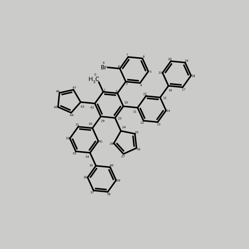 Cc1c(-c2ccccc2Br)c(-c2cccc(-c3ccccc3)c2)c(C2C=CC=C2)c(-c2cccc(-c3ccccc3)c2)c1C1C=CC=C1